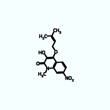 CC(C)=CCOc1c(O)c(=O)n(C)c2cc([N+](=O)[O-])ccc12